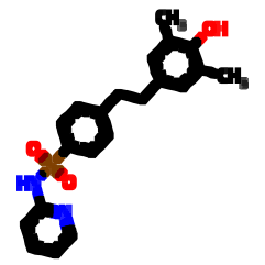 Cc1cc(CCc2ccc(S(=O)(=O)Nc3ccccn3)cc2)cc(C)c1O